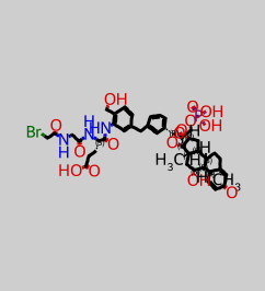 C[C@]12C=CC(=O)C=C1CC[C@@H]1[C@@H]2[C@@H](O)C[C@@]2(C)[C@H]1C[C@H]1O[C@@H](c3cccc(Cc4ccc(CO)c(NC(=O)[C@H](CCC(=O)O)NC(=O)CNC(=O)CBr)c4)c3)O[C@]12C(=O)COP(=O)(O)O